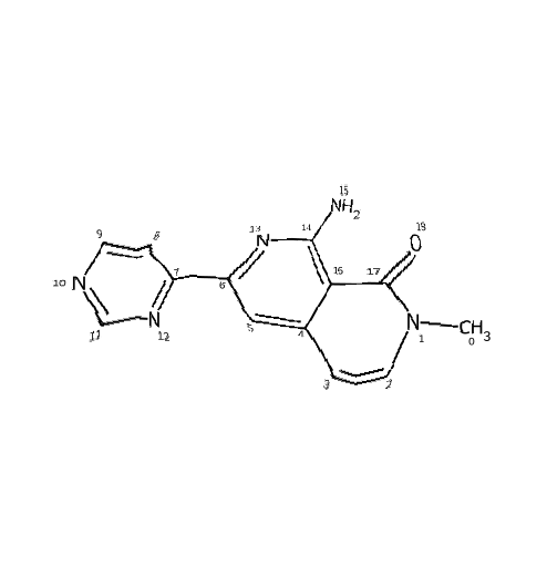 Cn1ccc2cc(-c3ccncn3)nc(N)c2c1=O